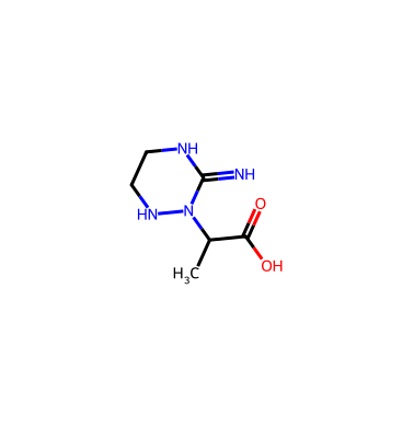 CC(C(=O)O)N1NCCNC1=N